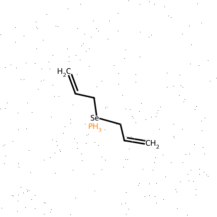 C=CC[Se]CC=C.P